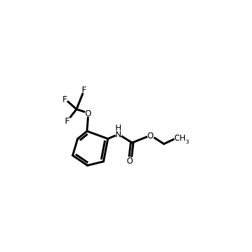 CCOC(=O)Nc1ccccc1OC(F)(F)F